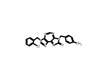 Cc1ccc(Cn2c3ncnc4c(ncn4Cc4ccccc4Cl)c-3nc2=O)cc1